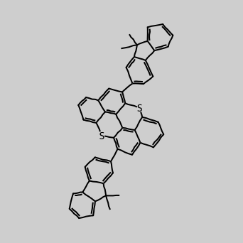 CC1(C)c2ccccc2-c2ccc(-c3cc4cccc5sc6c(-c7ccc8c(c7)C(C)(C)c7ccccc7-8)cc7cccc8sc3c(c45)-c6c78)cc21